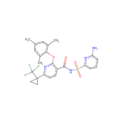 Cc1cc(C)c(Oc2nc(C3(C(F)(F)F)CC3)ccc2C(=O)NS(=O)(=O)c2cccc(N)n2)c(C)c1